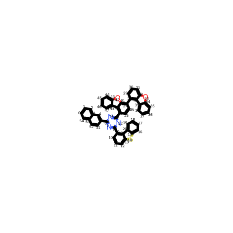 c1ccc2cc(-c3nc(-c4cccc5sc6ccccc6c45)nc(-c4ccc(-c5cccc6oc7ccccc7c56)c5oc6ccccc6c45)n3)ccc2c1